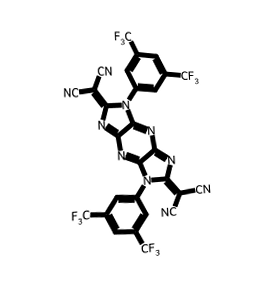 N#CC(C#N)=c1nc2nc3c(nc(=C(C#N)C#N)n3-c3cc(C(F)(F)F)cc(C(F)(F)F)c3)nc2n1-c1cc(C(F)(F)F)cc(C(F)(F)F)c1